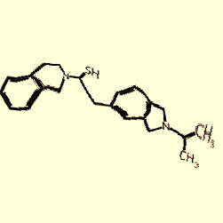 CC(C)N1Cc2ccc(CC(S)N3CCc4ccccc4C3)cc2C1